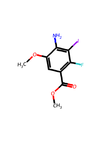 COC(=O)c1cc(OC)c(N)c(I)c1F